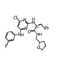 CC(C)C[C@H](Nc1nc(Cl)cc(Nc2cccc(F)c2)n1)C(=O)NCC1CCCO1